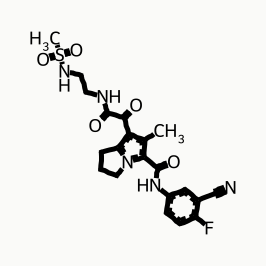 Cc1c(C(=O)C(=O)NCCNS(C)(=O)=O)c2n(c1C(=O)Nc1ccc(F)c(C#N)c1)CCC2